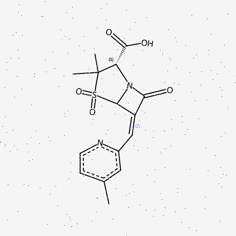 Cc1ccnc(/C=C2/C(=O)N3C2S(=O)(=O)C(C)(C)[C@@H]3C(=O)O)c1